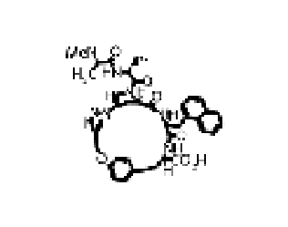 CN[C@@H](C)C(=O)N[C@H](C(=O)N1C[C@@H]2C[C@H]1C(=O)N[C@@H](Cc1cccc3ccccc13)C(=O)N[C@H](C(=O)O)Cc1ccc(cc1)OCc1cn2nn1)C(C)C